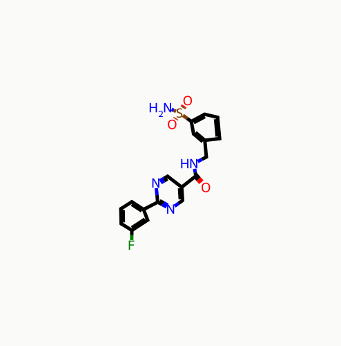 NS(=O)(=O)c1cccc(CNC(=O)c2cnc(-c3cccc(F)c3)nc2)c1